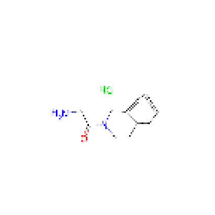 Cl.NCC(=O)N1CCc2ccccc2C1